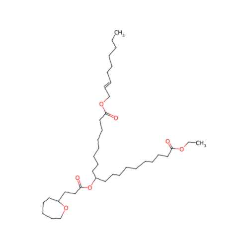 CCCCCC/C=C/COC(=O)CCCCCCCC(CCCCCCCCCC(=O)OCC)OC(=O)CCC1CCCCCO1